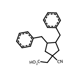 N#CC1(CC(=O)O)CC(Cc2ccccc2)C(Cc2ccccc2)C1